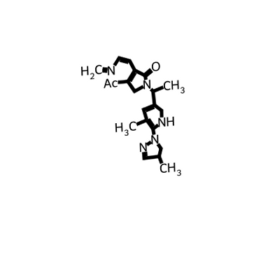 C=N/C=C\C1=C(C(C)=O)CN(C(C)C2=CC(C)=C(N3CC(C)C=N3)NC2)C1=O